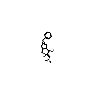 CN(C)C=C1OCC2CN(Cc3ccccc3)CC2C1=O